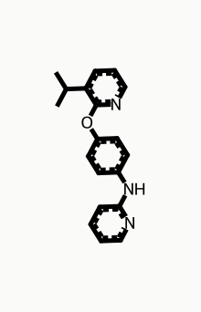 CC(C)c1cccnc1Oc1ccc(Nc2ccccn2)cc1